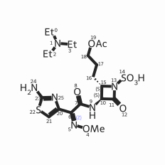 CCN(CC)CC.CO/N=C(\C(=O)N[C@@H]1C(=O)N(S(=O)(=O)O)[C@H]1CCCOC(C)=O)c1csc(N)n1